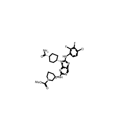 COC(=O)N1CCC[C@@H](Nc2ncc3nc(Nc4ccc(Cl)c(F)c4F)n([C@H]4CC[C@@H](C(N)=O)CC4)c3n2)C1